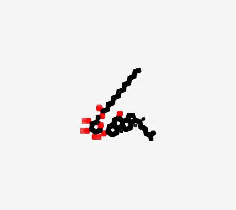 CCCCCCCCCCCCCC(=O)OC[C@H]1O[C@H](OC2CC[C@@]3(C)C(=CC(=O)C4C3CC[C@@]3(C)C4CC[C@@H]3[C@H](C)CCCC(C)C)C2)[C@H](O)[C@H](O)[C@H]1O